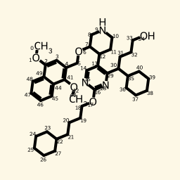 COc1cc(COC2CNCCC2c2cnc(OCCCCC3CCCCC3)nc2C(CCCO)C2CCCCC2)c(OC)c2ccccc12